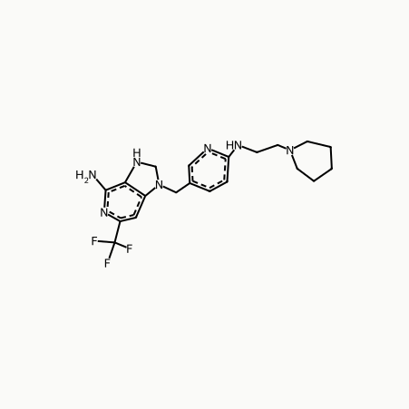 Nc1nc(C(F)(F)F)cc2c1NCN2Cc1ccc(NCCN2CCCCC2)nc1